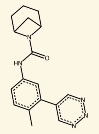 Cc1ccc(NC(=O)N2C3CCCC2C3)cc1-c1cnnnc1